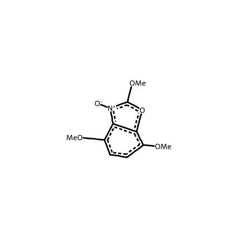 COc1ccc(OC)c2c1oc(OC)[n+]2[O-]